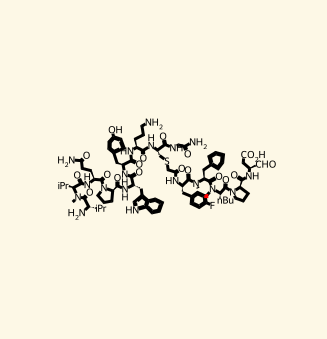 CCCC[C@@H](C(=O)N1CCC[C@@H]1C(=O)N[C@H](C=O)CC(=O)O)N(C)C(=O)[C@H](Cc1ccccc1)N(C)C(=O)[C@H](Cc1ccc(F)cc1)NC(=O)CSC[C@H](NC(=O)[C@H](CCCN)NC(=O)[C@H](Cc1ccc(O)cc1)NC(=O)[C@H](Cc1c[nH]c2ccccc12)NC(=O)[C@H]1CCCN1C(=O)[C@H](CCC(N)=O)NC(=O)[C@H](C(C)C)N(C)C(=O)[C@@H](N)C(C)C)C(=O)NCC(N)=O